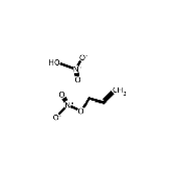 C=CCO[N+](=O)[O-].O=[N+]([O-])O